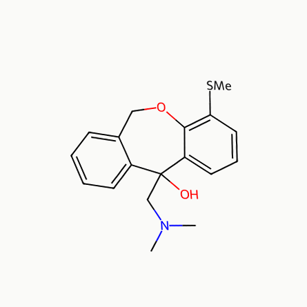 CSc1cccc2c1OCc1ccccc1C2(O)CN(C)C